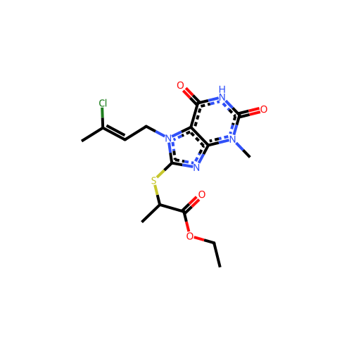 CCOC(=O)C(C)Sc1nc2c(c(=O)[nH]c(=O)n2C)n1CC=C(C)Cl